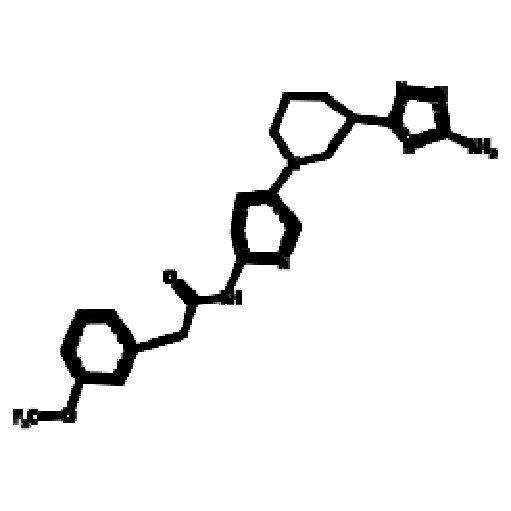 Nc1nnc(C2CCCN(c3ccc(NC(=O)Cc4cccc(OC(F)(F)F)c4)nc3)C2)s1